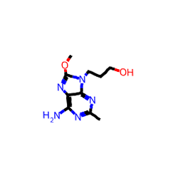 COc1nc2c(N)nc(C)nc2n1CCCO